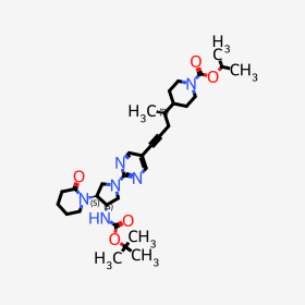 CC(C)OC(=O)N1CCC([C@H](C)CC#Cc2cnc(N3C[C@H](NC(=O)OC(C)(C)C)[C@@H](N4CCCCC4=O)C3)nc2)CC1